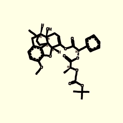 COc1ccc2c3c1O[C@H]1C(OC(=O)[C@@H](OC(=O)[C@H](C)OC(=O)OC(C)(C)C)c4ccccc4)=CC[C@@]4(O)[C@@H](C2)C(C)CC[C@]314